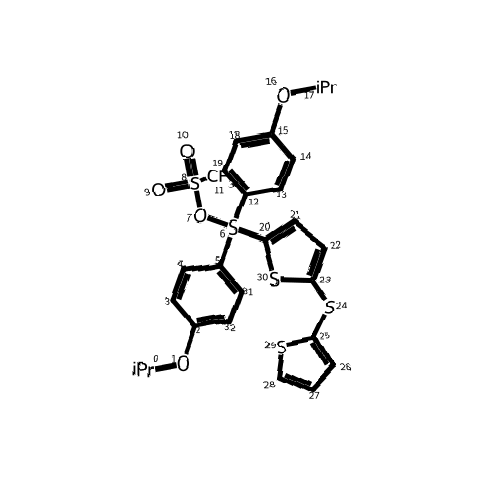 CC(C)Oc1ccc(S(OS(=O)(=O)C(F)(F)F)(c2ccc(OC(C)C)cc2)c2ccc(Sc3cccs3)s2)cc1